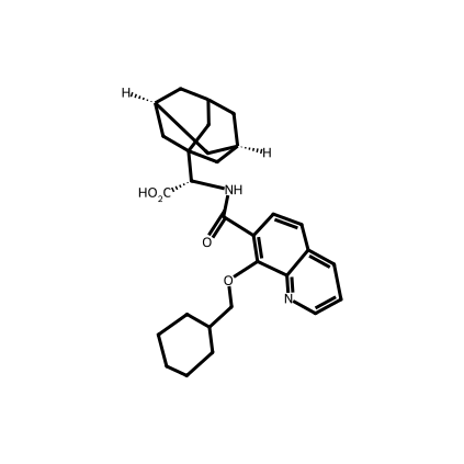 O=C(N[C@H](C(=O)O)C12CC3C[C@H](C1)C[C@@H](C3)C2)c1ccc2cccnc2c1OCC1CCCCC1